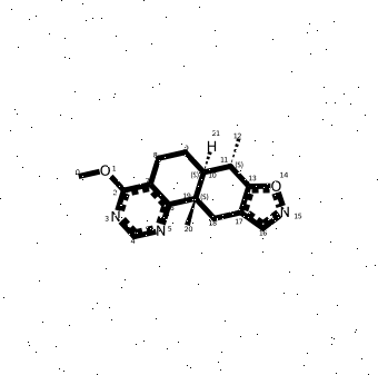 COc1ncnc2c1CC[C@H]1[C@H](C)c3oncc3C[C@]21C